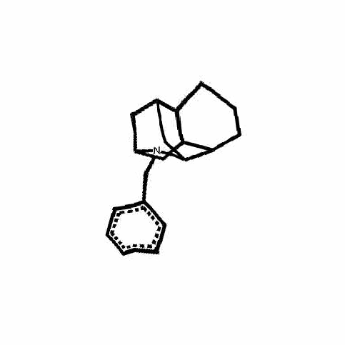 c1ccc(N2C3CC4CC2C2CCCC4C2C3)cc1